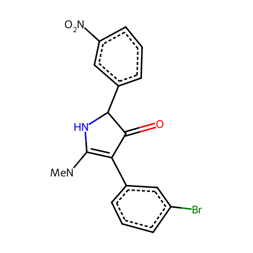 CNC1=C(c2cccc(Br)c2)C(=O)C(c2cccc([N+](=O)[O-])c2)N1